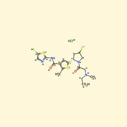 Cc1sc([C@@H]2C[C@@H](F)CN2C(=O)CN(C)CC(=O)O)cc1C(=O)Nc1ncc(F)s1.Cl